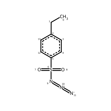 CCc1ccc(S(=O)(=O)N=[N+]=[N-])cc1